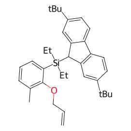 C=CCOc1c(C)cccc1[Si](CC)(CC)C1c2cc(C(C)(C)C)ccc2-c2ccc(C(C)(C)C)cc21